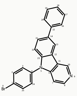 Brc1ccc(-n2c3ccncc3c3cc(-c4ccccc4)ccc32)cc1